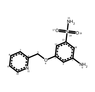 Nc1cc(OCc2ccccn2)cc(S(N)(=O)=O)c1